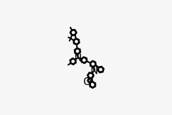 Cc1ccc(N(c2ccc(-c3ccc4c(c3)C(C)(C)c3cc(C)ccc3-4)cc2)c2ccc(-c3ccc4c5ccccc5n(-c5ccc6oc7ccccc7c6c5)c4c3)cc2)cc1